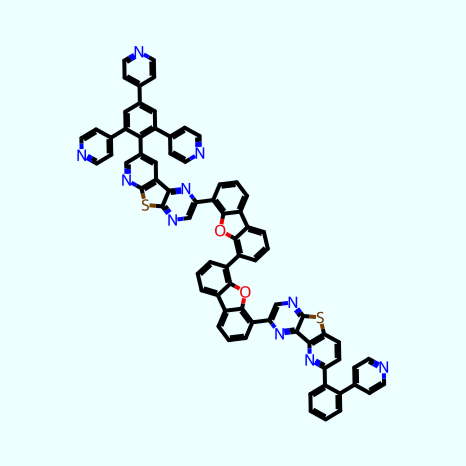 c1ccc(-c2ccc3sc4ncc(-c5cccc6c5oc5c(-c7cccc8c7oc7c(-c9cnc%10sc%11ncc(-c%12c(-c%13ccncc%13)cc(-c%13ccncc%13)cc%12-c%12ccncc%12)cc%11c%10n9)cccc78)cccc56)nc4c3n2)c(-c2ccncc2)c1